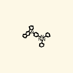 C1=CC(c2nc(-c3ccccc3)nc(-c3ccc(-n4c5ccccc5c5cc6ccccc6cc54)cc3)n2)=CCC1